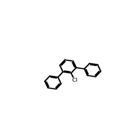 Clc1c(-c2ccccc2)c[c]cc1-c1ccccc1